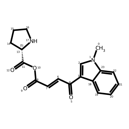 Cn1cc(C(=O)C=CC(=O)OC(=O)[C@@H]2CCCN2)c2ccccc21